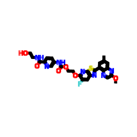 COc1cnc2c(-c3nc4cc(F)c(OCCOC(=O)Nc5ccc(C(=O)NCCO)nc5)nc4s3)cc(C)cc2n1